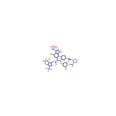 CC(=O)N1CCCC1C#Cc1ccc(-c2ccc(Cl)c3c(NS(C)(=O)=O)nn(C)c23)c([C@H](Cc2cc(F)cc(F)c2)NC(=O)Cn2nc(C(F)(F)F)c3c2C(F)(F)[C@H](C)C3)n1